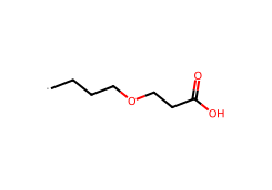 [CH2]CCCOCCC(=O)O